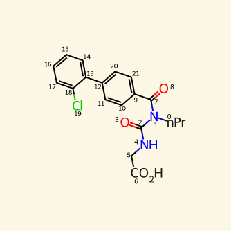 CCCN(C(=O)NCC(=O)O)C(=O)c1ccc(-c2ccccc2Cl)cc1